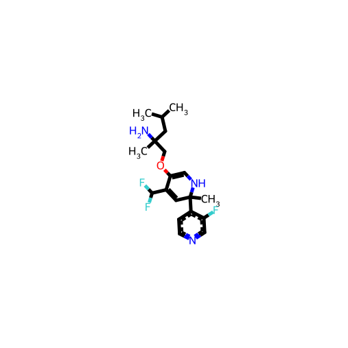 CC(C)CC(C)(N)COC1=CNC(C)(c2ccncc2F)C=C1C(F)F